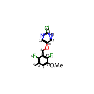 COc1cc(C)c(F)c(COc2cnc(Cl)nc2)c1F